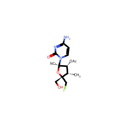 CC(=O)O[C@@H]1[C@H](C)[C@](CO)(CF)O[C@@]1(C#N)n1ccc(N)nc1=O